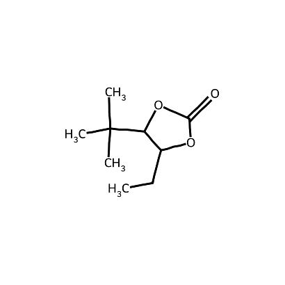 CCC1OC(=O)OC1C(C)(C)C